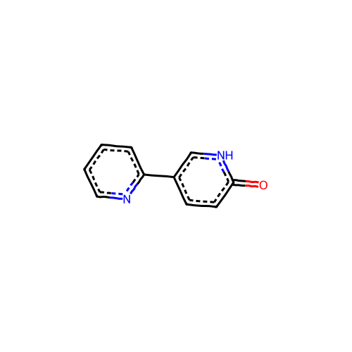 O=c1ccc(-c2ccccn2)c[nH]1